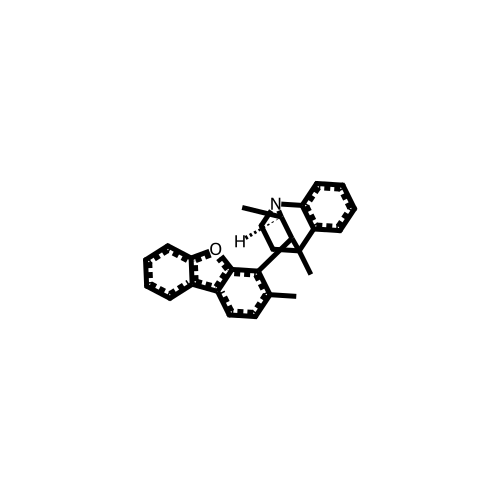 Cc1ccc2c(oc3ccccc32)c1C1[C@@H](C)N2CCC1(C)c1ccccc12